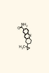 CC1(C2CCc3nc4ccc(C(N)=O)cc4cc3C2)CC1